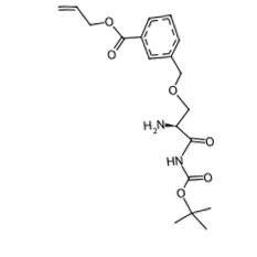 C=CCOC(=O)c1cccc(COC[C@H](N)C(=O)NC(=O)OC(C)(C)C)c1